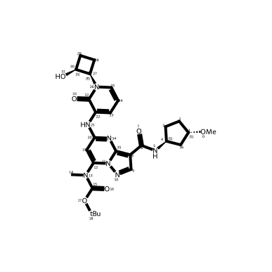 CO[C@H]1CC[C@H](NC(=O)c2cnn3c(N(C)C(=O)OC(C)(C)C)cc(Nc4cccn([C@@H]5CC[C@@H]5O)c4=O)nc23)C1